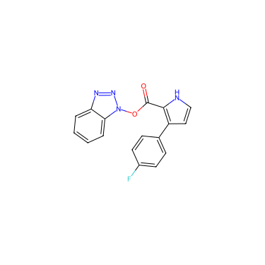 O=C(On1nnc2ccccc21)c1[nH]ccc1-c1ccc(F)cc1